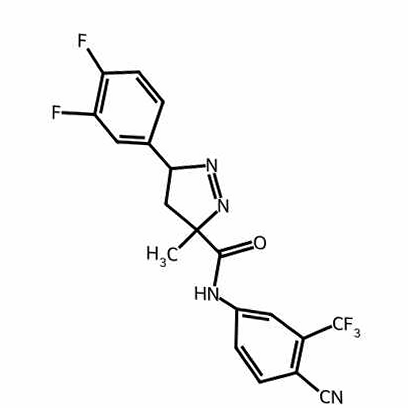 CC1(C(=O)Nc2ccc(C#N)c(C(F)(F)F)c2)CC(c2ccc(F)c(F)c2)N=N1